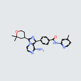 Cc1ccnc(NC(=O)c2ccc(-c3nc(C4CCOC(C)(C)C4)n4ccnc(N)c34)cc2)c1